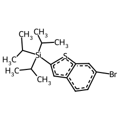 CC(C)[Si](c1cc2ccc(Br)cc2s1)(C(C)C)C(C)C